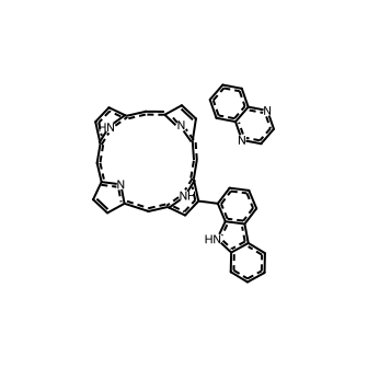 C1=Cc2cc3cc(-c4cccc5c4[nH]c4ccccc45)c(cc4nc(cc5ccc(cc1n2)[nH]5)C=C4)[nH]3.c1ccc2nccnc2c1